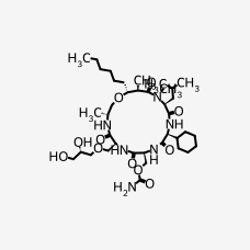 CCCCCC[C@H]1OC[C@@H](C)NC(=O)[C@H](COC[C@@H](O)CO)NC(=O)[C@H](COC(N)=O)NC(=O)[C@H](C2CCCCC2)NC(=O)[C@H](CC(C)C)N(C)C(=O)[C@@H]1C